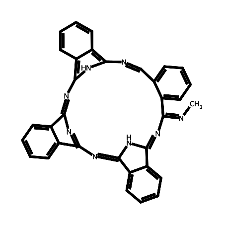 C/N=c1/nc2[nH]c(nc3nc(nc4[nH]c(ncc5ccccc15)c1ccccc41)-c1ccccc1-3)c1ccccc21